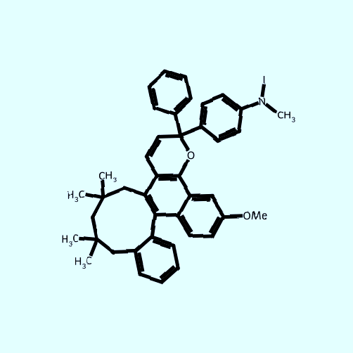 COc1ccc2c3c(c4c(c2c1)OC(c1ccccc1)(c1ccc(N(C)I)cc1)C=C4)CC(C)(C)CC(C)(C)Cc1ccccc1-3